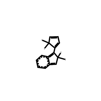 IC1(I)C=CC=C1C1=c2ccccc2=CC1(I)I